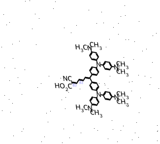 CN(C)c1ccc(N(c2ccc(C(=C/C=C/C=C(\C#N)C(=O)O)c3ccc(N(c4ccc(N(C)C)cc4)c4ccc(N(C)C)cc4)cc3)cc2)c2ccc(N(C)C)cc2)cc1